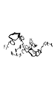 CC(C)(Cc1cc2c(c(C(N)=O)c1)N(CCCO)CC2)NCCOc1ccccc1OCC(F)(F)F